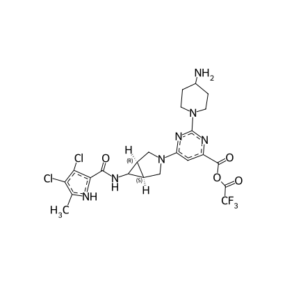 Cc1[nH]c(C(=O)NC2[C@H]3CN(c4cc(C(=O)OC(=O)C(F)(F)F)nc(N5CCC(N)CC5)n4)C[C@@H]23)c(Cl)c1Cl